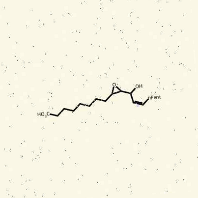 CCCCC/C=C\C(O)C1OC1CCCCCCCC(=O)O